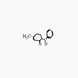 C[C@@H]1CCC([S+]([O-])c2ccccc2)C(=O)C1